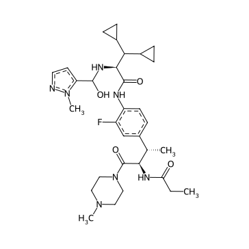 CCC(=O)N[C@@H](C(=O)N1CCN(C)CC1)[C@@H](C)c1ccc(NC(=O)[C@@H](NC(O)c2ccnn2C)C(C2CC2)C2CC2)c(F)c1